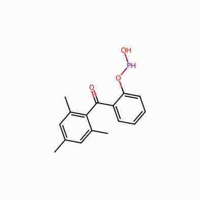 Cc1cc(C)c(C(=O)c2ccccc2OPO)c(C)c1